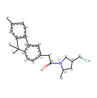 Cc1ccc2c(c1)C(C)(C)c1ccc(CC(=O)N3CC(CF)CC3C)cc1-2